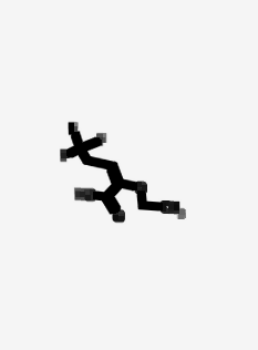 CCOC(=CCC(F)(F)F)C(=O)O